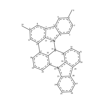 Cc1ccc2c(c1)c1cc(C)cc3c1n2B1c2c-3cccc2-n2c3ccccc3c3cccc1c32